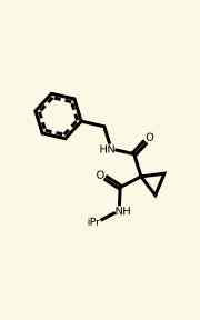 CC(C)NC(=O)C1(C(=O)NCc2ccccc2)CC1